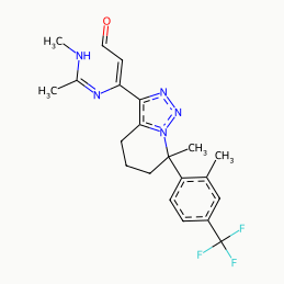 CN/C(C)=N\C(=C/C=O)c1nnn2c1CCCC2(C)c1ccc(C(F)(F)F)cc1C